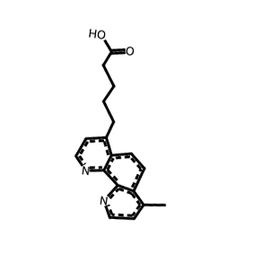 Cc1ccnc2c1ccc1c(CCCCC(=O)O)ccnc12